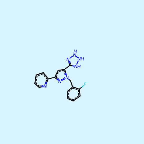 Fc1ccccc1Cn1nc(-c2ccccn2)cc1C1=NNNN1